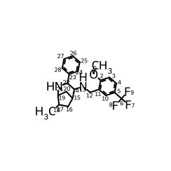 COc1ccc(C(F)(F)F)cc1CNC1C2CC(C)C(C2)NC1c1ccccc1